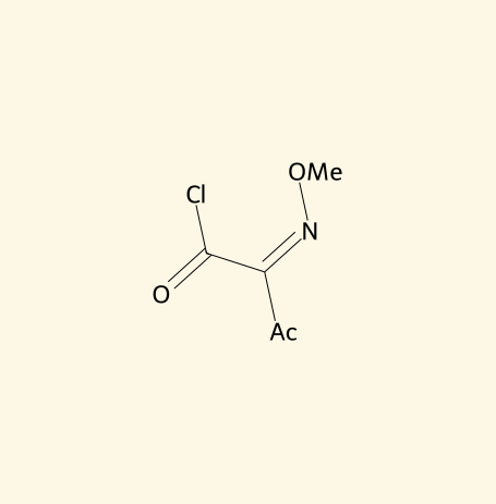 CON=C(C(C)=O)C(=O)Cl